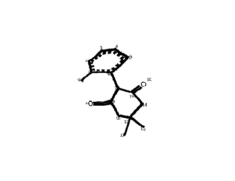 Cc1ccccc1C1C(=O)CC(C)(C)CC1=O